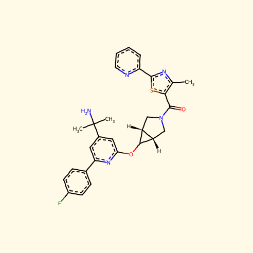 Cc1nc(-c2ccccn2)sc1C(=O)N1C[C@@H]2C(Oc3cc(C(C)(C)N)cc(-c4ccc(F)cc4)n3)[C@@H]2C1